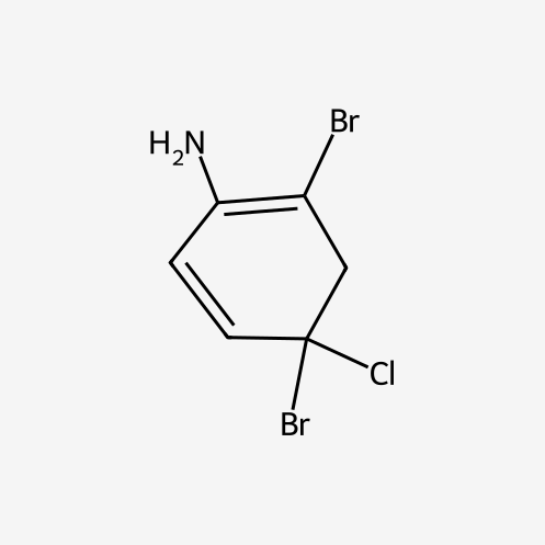 NC1=C(Br)CC(Cl)(Br)C=C1